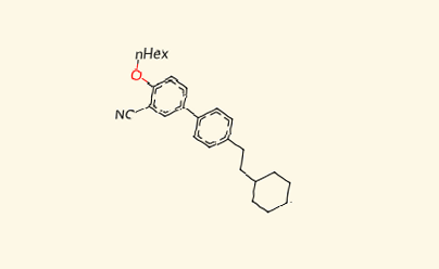 CCCCCCOc1ccc(-c2ccc(CCC3CC[CH]CC3)cc2)cc1C#N